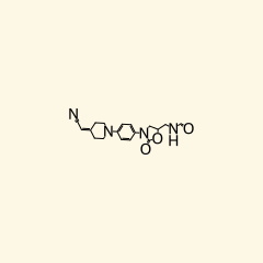 N#CC=C1CCN(c2ccc(N3CC(CNC=O)OC3=O)cc2)CC1